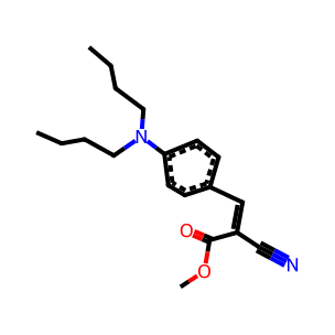 CCCCN(CCCC)c1ccc(C=C(C#N)C(=O)OC)cc1